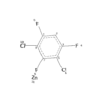 Fc1cc(F)c(Cl)c(F)c1Cl.[Zn]